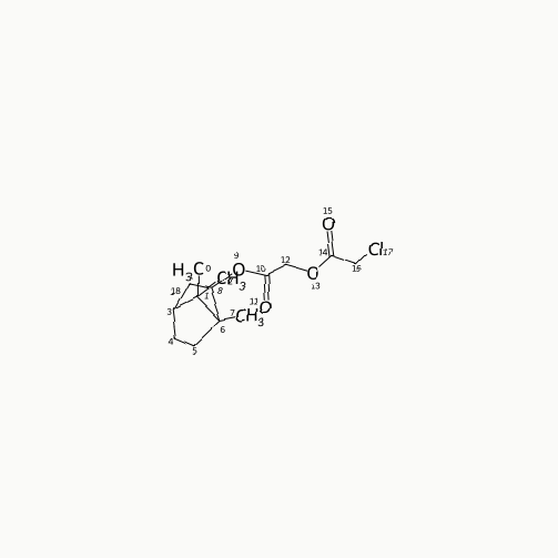 CC1(C)C2CCC1(C)C(OC(=O)COC(=O)CCl)C2